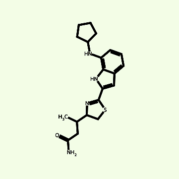 CC(CC(N)=O)C1CSC(c2cc3cccc(NC4CCCC4)c3[nH]2)=N1